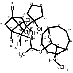 CNC1C2CCCCC(CCC2)CC1OC(C)N[C@H]1[C@@H](C2(O)CCCC2)C[C@H]2C[C@@H]1C2(C)C